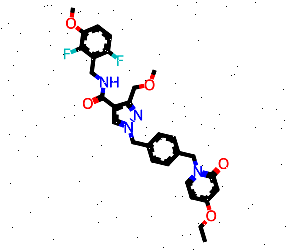 CCOc1ccn(Cc2ccc(Cn3cc(C(=O)NCc4c(F)ccc(OC)c4F)c(COC)n3)cc2)c(=O)c1